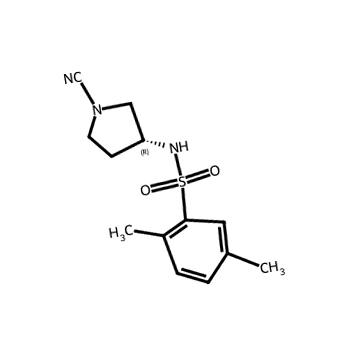 Cc1ccc(C)c(S(=O)(=O)N[C@@H]2CCN(C#N)C2)c1